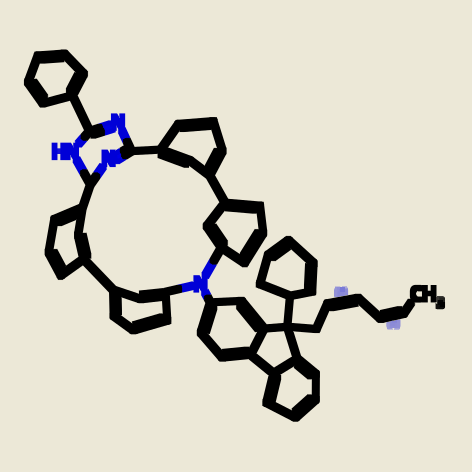 C/C=C\C=C/CC1(C2C=CC=CC2)c2ccccc2-c2ccc(N3c4cccc(c4)-c4cccc(c4)C4=NC(NC(c5ccccc5)=N4)c4cccc(c4)-c4cccc3c4)cc21